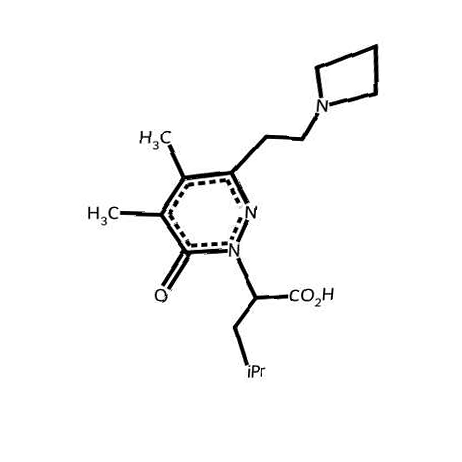 Cc1c(CCN2CCC2)nn(C(CC(C)C)C(=O)O)c(=O)c1C